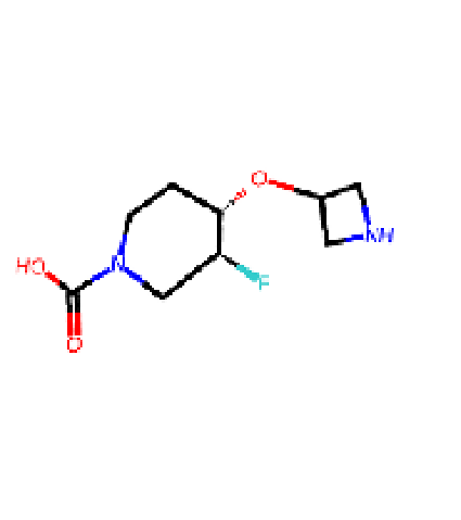 O=C(O)N1CC[C@H](OC2CNC2)[C@@H](F)C1